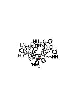 C[C@@H](c1ccccc1)N(CC(N)=O)C(=O)CN(C(=O)CN(CCCN)C(=O)CN(C(=O)CN(C(=O)CN(CCCN)C(=O)CN(C(=O)CN(C(=O)CNCCCN)[C@@H](C)c1ccccc1)[C@@H](C)c1ccccc1)[C@@H](C)c1ccccc1)[C@@H](C)c1ccccc1)[C@@H](C)c1ccccc1